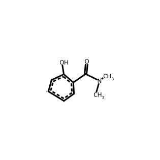 CN(C)C(=O)c1cc[c]cc1O